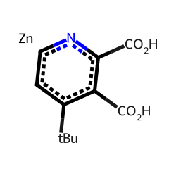 CC(C)(C)c1ccnc(C(=O)O)c1C(=O)O.[Zn]